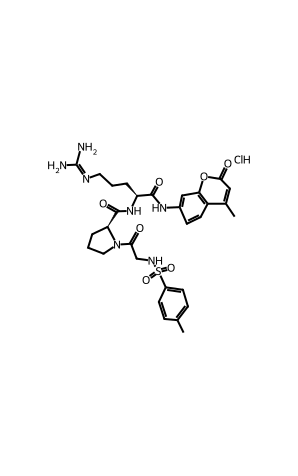 Cc1ccc(S(=O)(=O)NCC(=O)N2CCC[C@H]2C(=O)N[C@@H](CCCN=C(N)N)C(=O)Nc2ccc3c(C)cc(=O)oc3c2)cc1.Cl